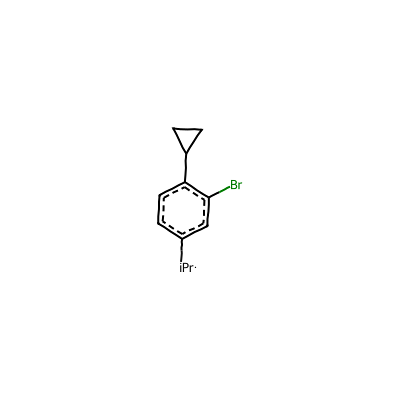 C[C](C)c1ccc(C2CC2)c(Br)c1